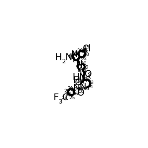 Nc1cc(N2CCN(C(=O)N[C@H]3CCCCN(C(=O)Nc4ccc(C(F)(F)F)cc4)C3=O)CC2)c2ccc(Cl)cc2n1